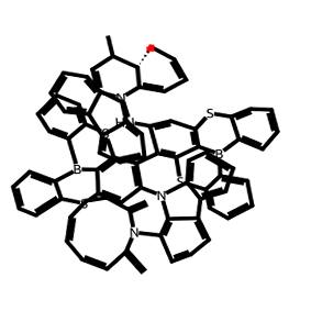 C=C1/C=C\C=C/CCC(=C)N1c1cccc2c3ccccc3n(-c3cc4c5c(c3-c3c(NC/C=C\C(C)[C@H](C)/C(=C\C=C/C)n6c7ccccc7c7ccccc76)cc6c7c3Sc3ccccc3B7c3ccccc3S6)Sc3ccccc3B5c3ccccc3S4)c12